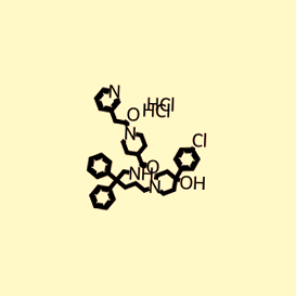 Cl.Cl.O=C(NCC(CCCN1CCC(O)(c2ccc(Cl)cc2)CC1)(c1ccccc1)c1ccccc1)C1CCN(C(=O)Cc2cccnc2)CC1